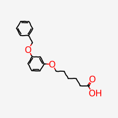 O=C(O)CCCCCOc1cccc(OCc2ccccc2)c1